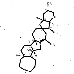 CC1=C2C[C@H]3[C@@H](CC[C@@H]4CCOCCC[C@@]43C)[C@@H]2CC[C@@]2(C1)O[C@@H]1C[C@H](C)CN[C@H]1[C@H]2C